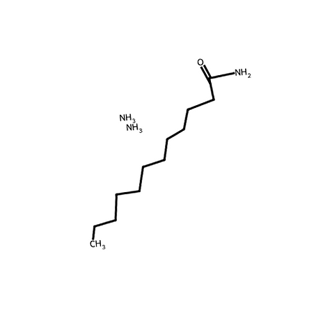 CCCCCCCCCCCC(N)=O.N.N